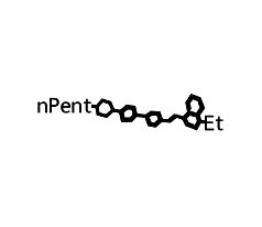 CCCCCC1CCC(c2ccc(-c3ccc(/C=C/c4ccc(CC)c5ccccc45)cc3)cc2)CC1